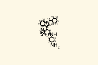 N[C@H]1CC[C@@H](NC(=O)CC(c2cscn2)c2cn(Cc3ccccc3)c3ccccc23)CC1